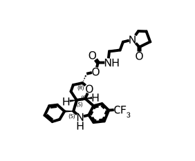 O=C(NCCCN1CCCC1=O)OC[C@H]1CC[C@@H]2[C@H](O1)c1cc(C(F)(F)F)ccc1N[C@H]2C1C=CC=CC1